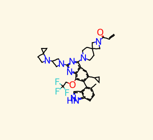 C=CC(=O)N1CC2(CCN(c3nc(N4CC(N5CCC56CC6)C4)nc4c(OCC(F)(F)F)c(-c5c(C)ccc6[nH]ncc56)c(C5CC5)cc34)CC2)C1